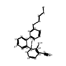 CCCCCc1cccc(-c2ccccc2C2(F)CC=CC(C#N)=C2F)c1